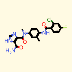 Cc1cc(N(C)C(=O)c2nc[nH]c2C(N)=O)ccc1NC(=O)c1ccc(F)cc1Cl